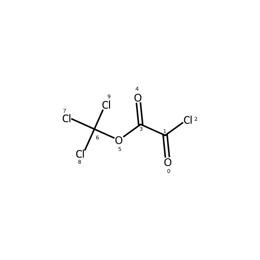 O=C(Cl)C(=O)OC(Cl)(Cl)Cl